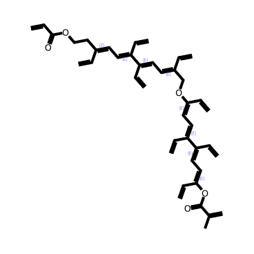 C=CC(=O)OCC/C(C=C)=C/C=C(C=C)/C(C=C)=C/C=C(\C=C)CO/C(C=C)=C/C=C(C=C)/C(C=C)=C/C=C(\C=C)OC(=O)C(=C)C